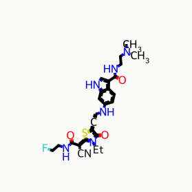 CCn1c(=O)c(=C=CNc2ccc3c(C(=O)NCCN(C)C)c[nH]c3c2)s/c1=C(/C#N)C(=O)NCCF